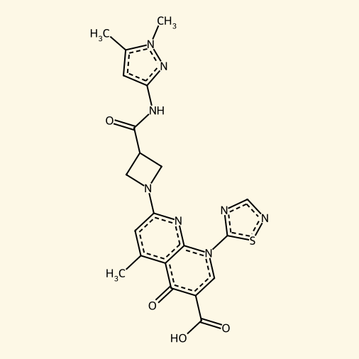 Cc1cc(N2CC(C(=O)Nc3cc(C)n(C)n3)C2)nc2c1c(=O)c(C(=O)O)cn2-c1ncns1